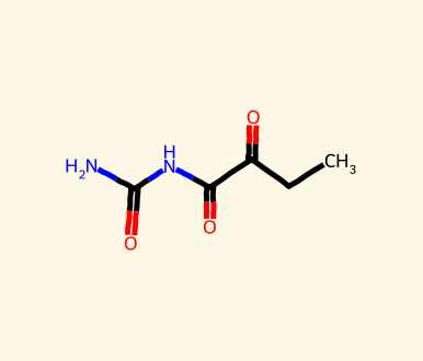 CCC(=O)C(=O)NC(N)=O